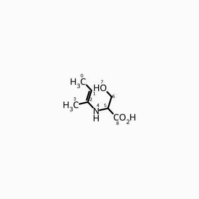 CC=C(C)NC(CO)C(=O)O